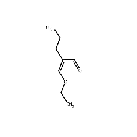 CCCC(C=O)=COCC